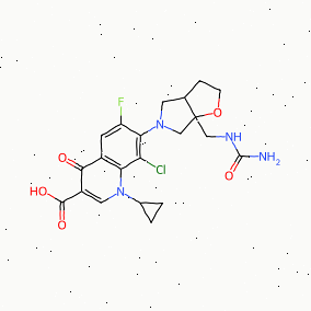 NC(=O)NCC12CN(c3c(F)cc4c(=O)c(C(=O)O)cn(C5CC5)c4c3Cl)CC1CCO2